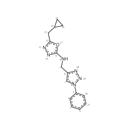 c1ccc(-n2cc(CNc3nnc(CC4CC4)o3)nn2)cc1